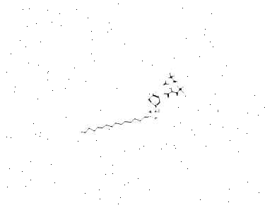 CCCCCCCCCCCCCCCCS(=O)(=O)Nc1ccc(Cl)c(NC(=O)C(C(=O)C(C)(C)C)N2C(=O)OC(C)(C)C2=O)c1